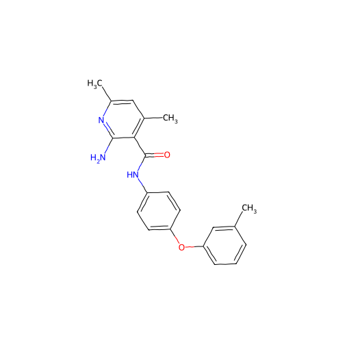 Cc1cccc(Oc2ccc(NC(=O)c3c(C)cc(C)nc3N)cc2)c1